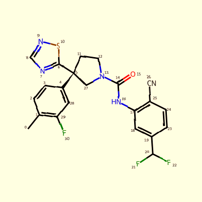 Cc1ccc([C@@]2(c3ncns3)CCN(C(=O)Nc3cc(C(F)F)ccc3C#N)C2)cc1F